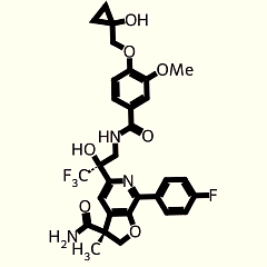 COc1cc(C(=O)NC[C@](O)(c2cc3c(c(-c4ccc(F)cc4)n2)OC[C@]3(C)C(N)=O)C(F)(F)F)ccc1OCC1(O)CC1